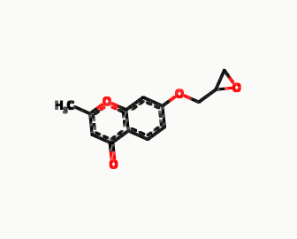 Cc1cc(=O)c2ccc(OCC3CO3)cc2o1